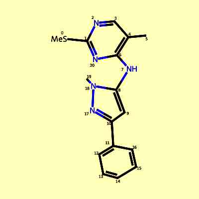 CSc1ncc(C)c(Nc2cc(-c3ccccc3)nn2C)n1